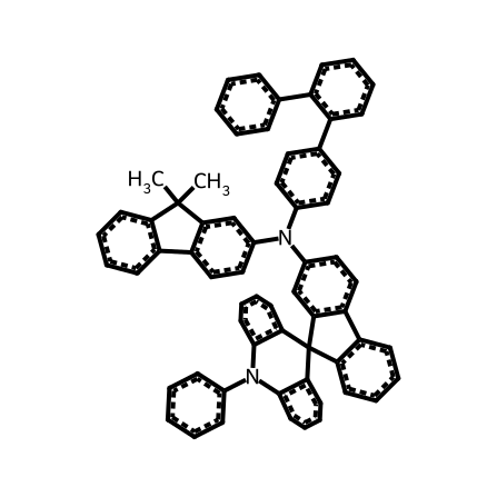 CC1(C)c2ccccc2-c2ccc(N(c3ccc(-c4ccccc4-c4ccccc4)cc3)c3ccc4c(c3)C3(c5ccccc5-4)c4ccccc4N(c4ccccc4)c4ccccc43)cc21